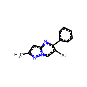 CC(=O)c1cn2nc(C)cc2nc1-c1ccccc1